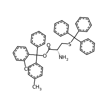 Cc1ccc(C(OC(=O)[C@@H](N)CSC(c2ccccc2)(c2ccccc2)c2ccccc2)(c2ccccc2)c2ccccc2Cl)cc1